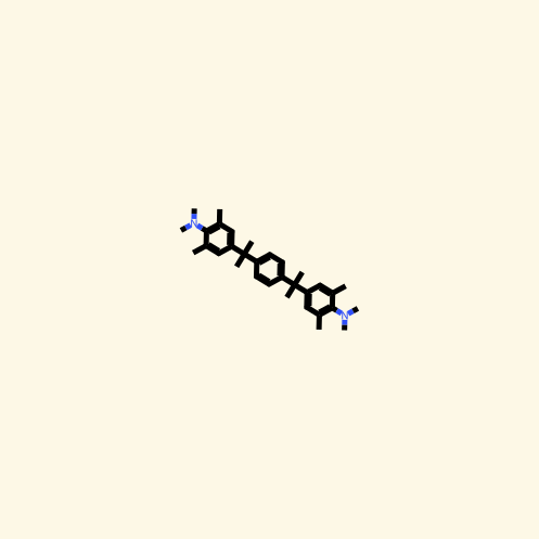 Cc1cc(C(C)(C)c2ccc(C(C)(C)c3cc(C)c(N(C)C)c(C)c3)cc2)cc(C)c1N(C)C